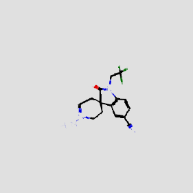 N#Cc1ccc2c(c1)C1(CCN(N)CC1)C(=O)N2CC(F)(F)F